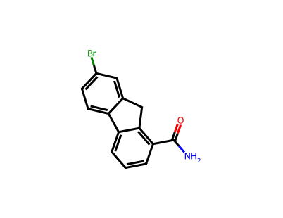 NC(=O)c1[c]ccc2c1Cc1cc(Br)ccc1-2